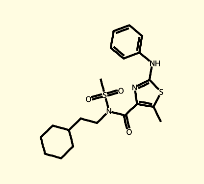 Cc1sc(Nc2ccccc2)nc1C(=O)N(CCC1CCCCC1)S(C)(=O)=O